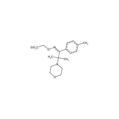 CCOC(=O)CO/N=C(/c1ccc(C)cc1)C(C)(C)N1CCOCC1